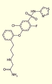 NC(=O)CNCCCc1ccccc1Oc1cc(F)c(S(=O)(=O)Nc2cscn2)cc1Cl